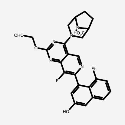 CCc1cccc2cc(O)cc(-c3ncc4c(N5CC6CCC(C5)N6C(=O)O)nc(OCC=O)nc4c3F)c12